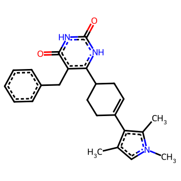 Cc1cn(C)c(C)c1C1=CCC(c2[nH]c(=O)[nH]c(=O)c2Cc2ccccc2)CC1